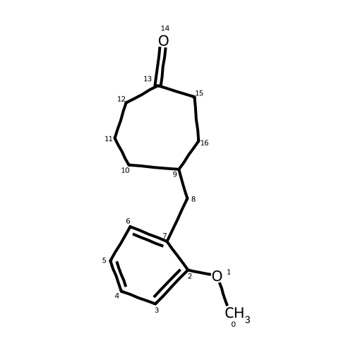 COc1ccccc1CC1CCCC(=O)CC1